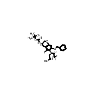 CC(C)(C)OC(=O)N[C@@H]1COc2cc(OCc3ccccc3)c(N(CC(=O)O)C(=O)C(F)(F)F)c(F)c2C1